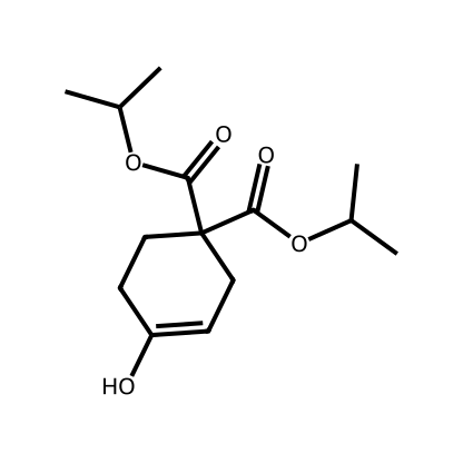 CC(C)OC(=O)C1(C(=O)OC(C)C)CC=C(O)CC1